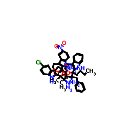 CCCCC1(C(N)(Cc2ccccc2)C(C(N)C2(C)OCCc3c2[nH]c2ccc([N+](=O)[O-])cc32)C(C)(N)C2(C)OCCc3c2[nH]c2ccc(Cl)cc32)OCCc2c1[nH]c1ccccc21